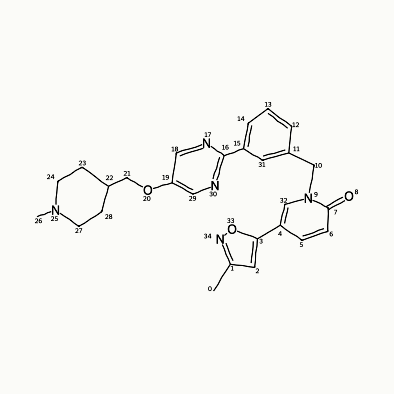 Cc1cc(-c2ccc(=O)n(Cc3cccc(-c4ncc(OCC5CCN(C)CC5)cn4)c3)c2)on1